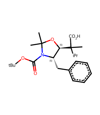 CC(C)C(C)(C(=O)O)[C@@H]1OC(C)(C)N(C(=O)OC(C)(C)C)[C@H]1Cc1ccccc1